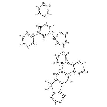 CC1(C)c2ccccc2-c2cc3c4ccccc4c4cc(-c5cccc(-c6nc(-c7ccccc7)nc(-c7ccccc7)n6)c5)ccc4c3cc21